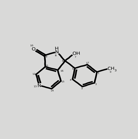 Cc1cccc(C2(O)NC(=O)c3cnccc32)c1